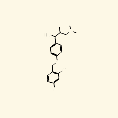 CC(CN(C)C)C(O)c1ccc(SCc2ccc(Cl)cc2Cl)cc1